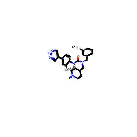 COc1cccc(CN(CC2CCN(C)CC2)C(=O)Nc2ccc(-c3cn[nH]c3)cc2OC)c1